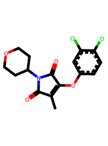 CC1=C(Oc2ccc(Cl)c(Cl)c2)C(=O)N(C2CCOCC2)C1=O